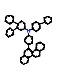 c1ccc(-c2ccc(N(c3ccc(-c4cc5ccccc5c5ccc6ccccc6c45)cc3)c3ccc(-c4ccccc4)c(-c4ccccc4)c3)cc2)cc1